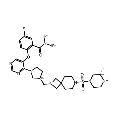 CC(C)N(C(=O)c1cc(F)ccc1Oc1cncnc1N1CC[C@@H](CN2CC3(CCN(S(=O)(=O)N4CCN[C@@H](C)C4)CC3)C2)C1)C(C)C